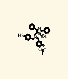 CCCCn1c(-c2ccccc2)nc(-c2ccccc2)c1CN(Cc1ccc(S)cc1)Cc1ccc(OC(F)F)c(F)c1